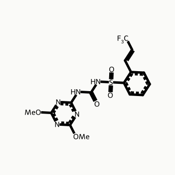 COc1nc(NC(=O)NS(=O)(=O)c2ccccc2C=CC(F)(F)F)nc(OC)n1